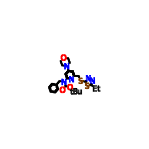 CCc1nnc(SCc2cc(N3CCOCC3)cc(N(Cc3ccccc3)C(=O)OC(C)(C)C)n2)s1